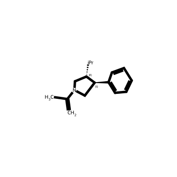 C=C(C)N1C[C@H](c2ccccc2)[C@@H](C(C)C)C1